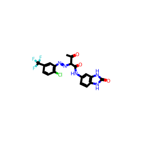 CC(=O)C(N=Nc1cc(C(F)(F)F)ccc1Cl)C(=O)Nc1ccc2[nH]c(=O)[nH]c2c1